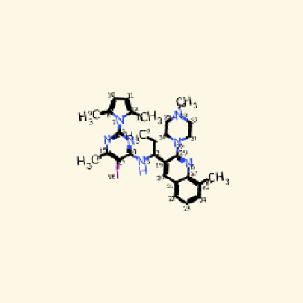 CCC(Nc1nc(-n2c(C)ccc2C)nc(C)c1I)c1cc2cccc(C)c2nc1N1CCN(C)CC1